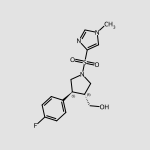 Cn1cnc(S(=O)(=O)N2C[C@H](CO)[C@@H](c3ccc(F)cc3)C2)c1